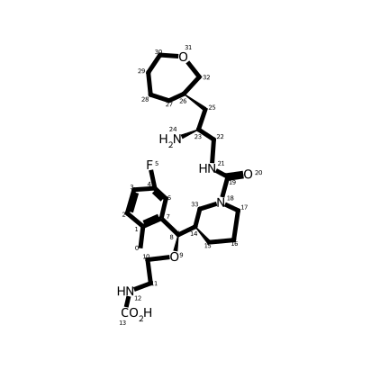 Cc1ccc(F)cc1[C@H](OCCNC(=O)O)[C@@H]1CCCN(C(=O)NC[C@@H](N)C[C@H]2CCCCOC2)C1